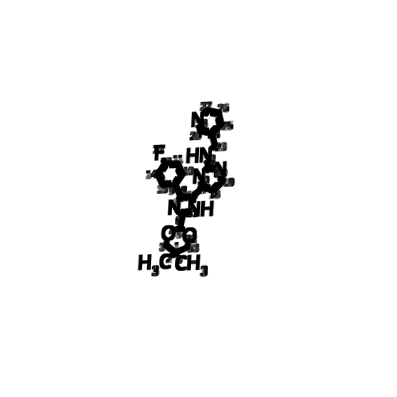 CC1(C)COC(c2nc(-c3ccc(F)cc3)c(-c3ccnc(NCc4cccnc4)n3)[nH]2)OC1